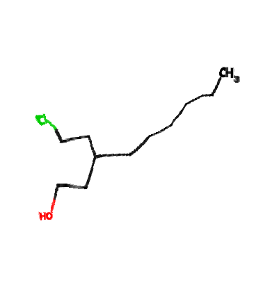 CCCCCCC(CCO)CCCl